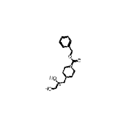 O=C(OCc1ccccc1)N1CCC(C[C@H](O)CO)CC1